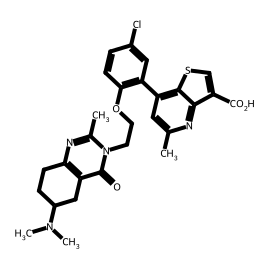 Cc1cc(-c2cc(Cl)ccc2OCCn2c(C)nc3c(c2=O)CC(N(C)C)CC3)c2scc(C(=O)O)c2n1